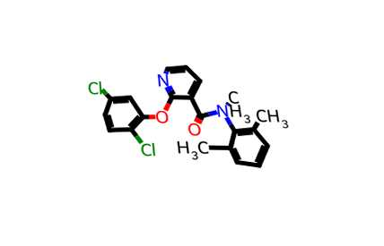 Cc1cccc(C)c1N(C)C(=O)c1cccnc1Oc1cc(Cl)ccc1Cl